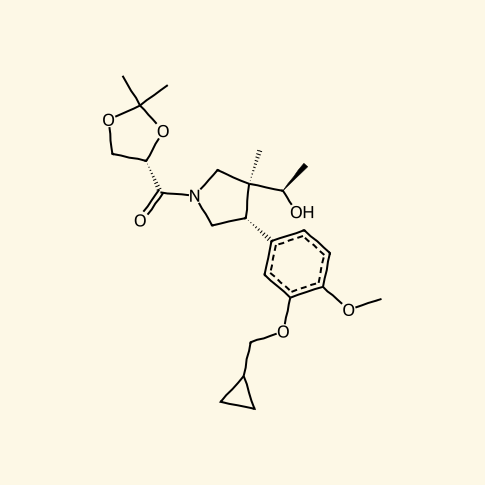 COc1ccc([C@@H]2CN(C(=O)[C@@H]3COC(C)(C)O3)C[C@@]2(C)[C@@H](C)O)cc1OCC1CC1